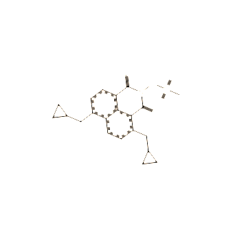 CS(=O)(=O)ON1C(=O)c2ccc(CC3CC3)c3ccc(CC4CC4)c(c23)C1=O